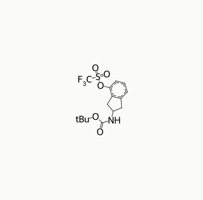 CC(C)(C)OC(=O)NC1Cc2cccc(OS(=O)(=O)C(F)(F)F)c2C1